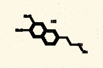 COc1cc2ccc(CCNC(C)(C)C)cc2cc1OC.Cl